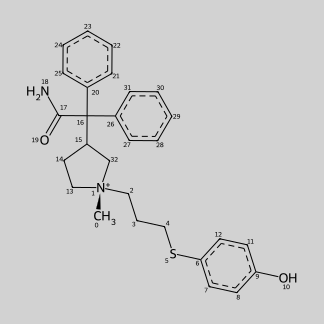 C[N@@+]1(CCCSc2ccc(O)cc2)CCC(C(C(N)=O)(c2ccccc2)c2ccccc2)C1